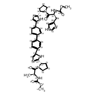 COC(=O)N[C@@H](C)C(=O)N1CCC[C@H]1c1ncc(-c2ccc(-c3ccc(-c4cnc([C@@H]5CCCN5C(=O)[C@H](Cc5c[nH]cn5)NC(=O)OC)[nH]4)cc3)cc2)[nH]1